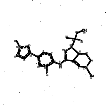 CC(=O)N1C=C2C(Nc3ccc(-c4cnn(C)c4)cc3F)=NN(C(C)(C)CO)C2CC1